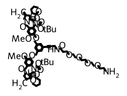 C=C1C[C@H]2[C@H](OC3CCCCO3)N(C(=O)OC(C)(C)C)c3cc(OCc4cc(C#CCNC(=O)CCOCCOCCOCCOCCN)cc(COc5cc6c(cc5OC)C(=O)N5CC(=C)C[C@H]5[C@H](OC5CCCCO5)N6C(=O)OC(C)(C)C)c4)c(OC)cc3C(=O)N2C1